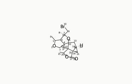 CC1OCC2(C)C1[C@@](C)(CBr)OC21C[C@H]2C[C@]23C(=O)OC(C)C13C